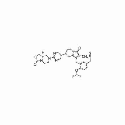 Cn1c(=O)c2ccc(-c3cnc(N4CCN5C(=O)OC[C@H]5C4)nc3)cc2n1Cc1cc(CC#N)ccc1OC(F)F